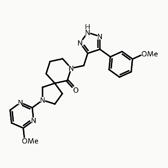 COc1cccc(-c2n[nH]nc2CN2CCCC3(CCN(c4nccc(OC)n4)C3)C2=O)c1